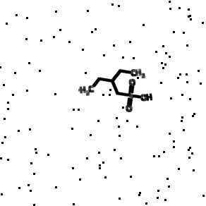 [CH2]CC(CC)CS(=O)(=O)O